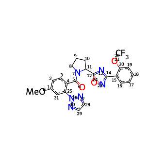 COc1ccc(C(=O)N2CCCC2c2nc(-c3ccccc3OC(F)(F)F)no2)c(-n2nccn2)c1